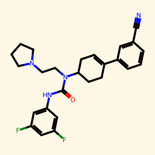 N#Cc1cccc(C2=CCC(N(CCN3CCCC3)C(=O)Nc3cc(F)cc(F)c3)CC2)c1